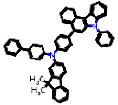 CC1(C)c2ccccc2-c2ccc(N(c3ccc(-c4ccccc4)cc3)c3ccc(-c4cc5c(c6ccccc46)c4ccccc4n5-c4ccccc4)cc3)cc21